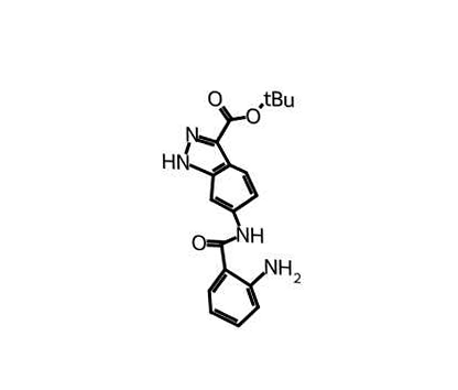 CC(C)(C)OC(=O)c1n[nH]c2cc(NC(=O)c3ccccc3N)ccc12